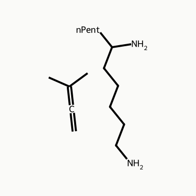 C=C=C(C)C.CCCCCC(N)CCCCCN